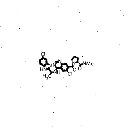 CNC(=O)[C@@H]1CCCN1C(=O)c1cc2ncnc(NC(C)c3nc4cc(Cl)ccc4[nH]3)c2cc1Cl